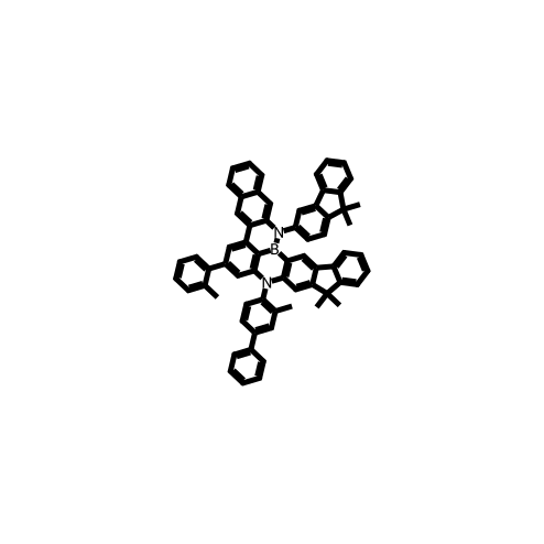 Cc1ccccc1-c1cc2c3c(c1)N(c1ccc(-c4ccccc4)cc1C)c1cc4c(cc1B3N(c1ccc3c(c1)-c1ccccc1C3(C)C)c1cc3ccccc3cc1-2)-c1ccccc1C4(C)C